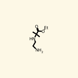 CCOC(=O)C(C)(C)NCCN